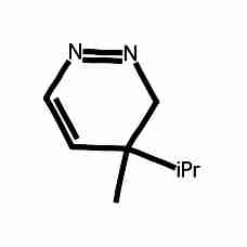 CC(C)C1(C)C=CN=NC1